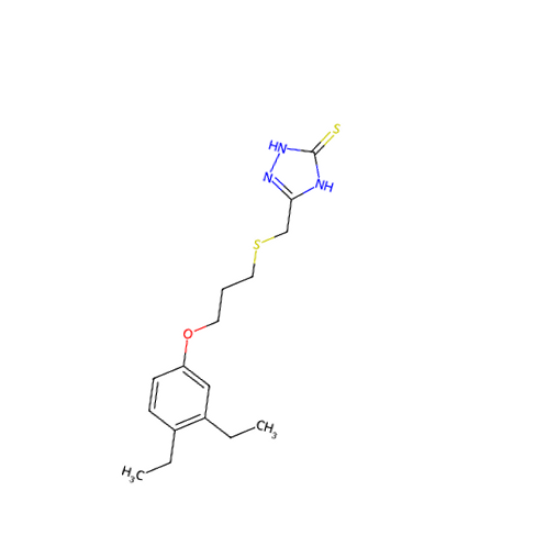 CCc1ccc(OCCCSCc2n[nH]c(=S)[nH]2)cc1CC